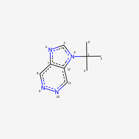 CC(C)(C)n1cnc2cnncc21